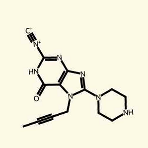 [C-]#[N+]c1nc2nc(N3CCNCC3)n(CC#CC)c2c(=O)[nH]1